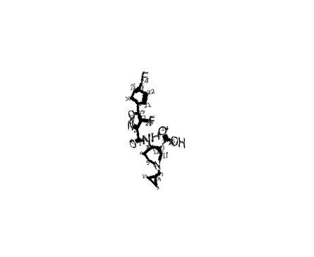 O=C(N[C@@H]1CCN(CC2CC2)C[C@H]1C(=O)O)c1noc(-c2ccc(F)cc2)c1F